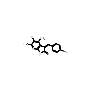 Cc1nc2c(c(C)c1O)/C(=C/c1ccc([N+](=O)[O-])cc1)C(=O)N2